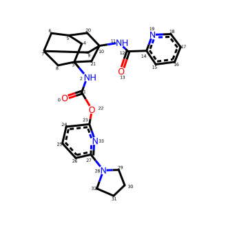 O=C(NC12CC3CC(C1)CC(NC(=O)c1ccccn1)(C3)C2)Oc1cccc(N2CCCC2)n1